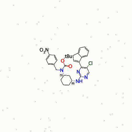 CC(C)(C)OC(=O)N(Cc1ccc([N+](=O)[O-])cc1)[C@H]1CCC[C@@H](Nc2ncc(Cl)c(C3=CCc4ccccc43)n2)C1